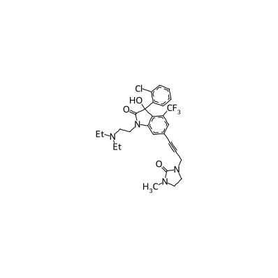 CCN(CC)CCN1C(=O)C(O)(c2ccccc2Cl)c2c1cc(C#CCN1CCN(C)C1=O)cc2C(F)(F)F